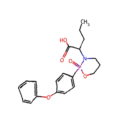 CCCC(C(=O)O)N1CCCOP1(=O)c1ccc(Oc2ccccc2)cc1